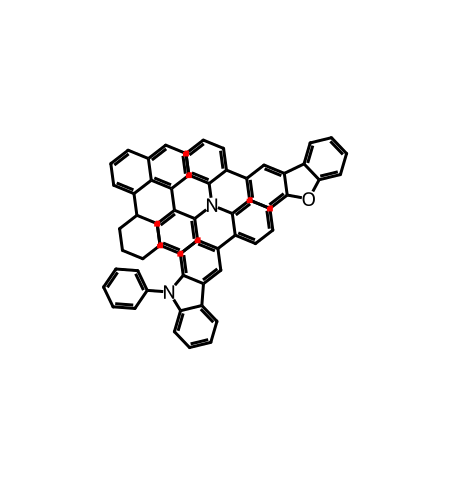 c1ccc(-n2c3ccccc3c3cc(-c4ccccc4N(c4ccccc4-c4ccc5oc6ccccc6c5c4)c4ccccc4-c4cccc5cccc(C6CCCCC6)c45)ccc32)cc1